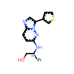 CC(C)[C@@H](CO)Nc1ccc2ncc(-c3ccsc3)n2n1